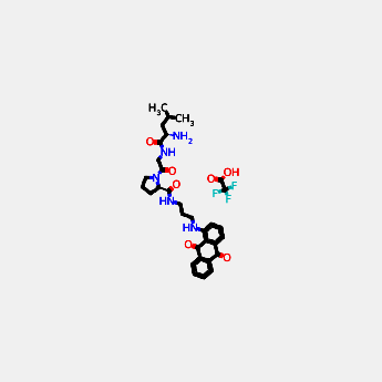 CC(C)C[C@H](N)C(=O)NCC(=O)N1CCC[C@@H]1C(=O)NCCCNc1cccc2c1C(=O)c1ccccc1C2=O.O=C(O)C(F)(F)F